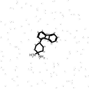 NC1(N)CCC(c2cccc3c2-c2ccccc2-3)CC1